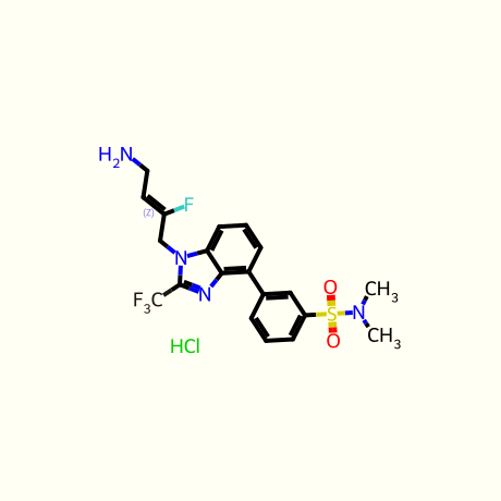 CN(C)S(=O)(=O)c1cccc(-c2cccc3c2nc(C(F)(F)F)n3C/C(F)=C/CN)c1.Cl